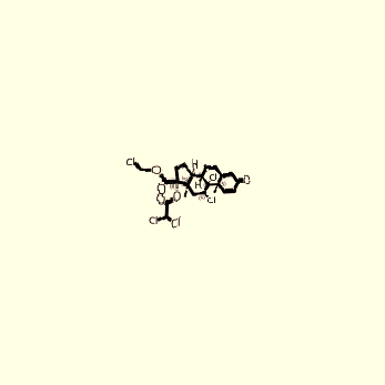 C[C@]12C=CC(=O)C=C1CC[C@H]1[C@@H]3CC[C@](OC(=O)C(Cl)Cl)(C(=O)OCCl)[C@@]3(C)C[C@H](Cl)[C@@]12Cl